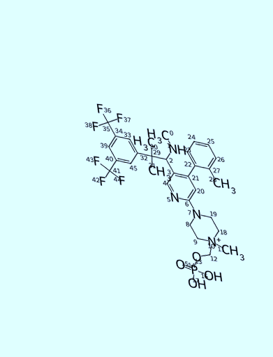 CNC(c1cnc(N2CC[N+](C)(COP(=O)(O)O)CC2)cc1-c1ccccc1C)C(C)(C)c1cc(C(F)(F)F)cc(C(F)(F)F)c1